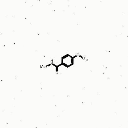 CSNC(=O)c1ccc(OC(F)(F)F)cc1